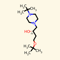 CC(C)(C)OCC[C@H](O)CN1CCN(C(C)(C)C)CC1